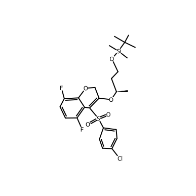 C[C@H](CCO[Si](C)(C)C(C)(C)C)OC1=C(S(=O)(=O)c2ccc(Cl)cc2)c2c(F)ccc(F)c2OC1